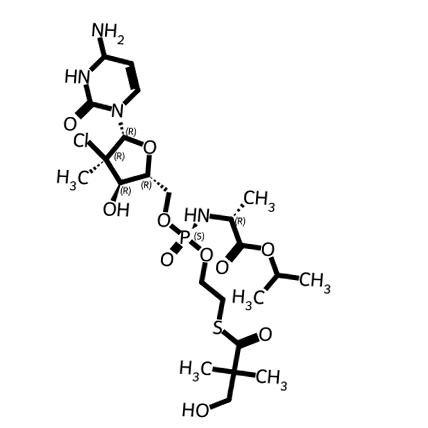 CC(C)OC(=O)[C@@H](C)N[P@@](=O)(OCCSC(=O)C(C)(C)CO)OC[C@H]1O[C@@H](N2C=CC(N)NC2=O)[C@](C)(Cl)[C@@H]1O